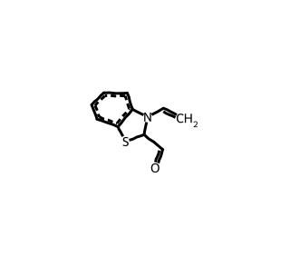 C=CN1c2ccccc2SC1C=O